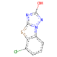 Oc1nc2sc3c(Cl)cccc3n2n1